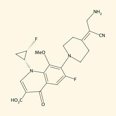 COc1c(N2CCC(=C(C#N)CN)CC2)c(F)cc2c(=O)c(C(=O)O)cn([C@@H]3C[C@@H]3F)c12